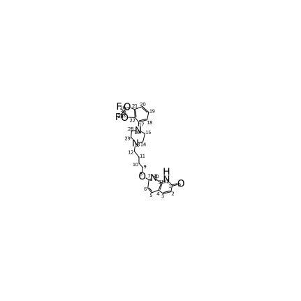 O=c1ccc2ccc(OCCCCN3CCN(c4cccc5c4OC(F)(F)O5)CC3)nc2[nH]1